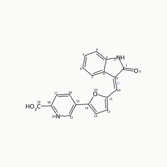 O=C1Nc2ccccc2/C1=C\c1ccc(-c2ccc(C(=O)O)nc2)o1